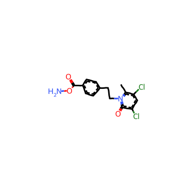 Cc1c(Cl)cc(Cl)c(=O)n1CCc1ccc(C(=O)ON)cc1